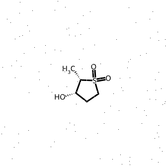 C[C@H]1[C@@H](O)CCS1(=O)=O